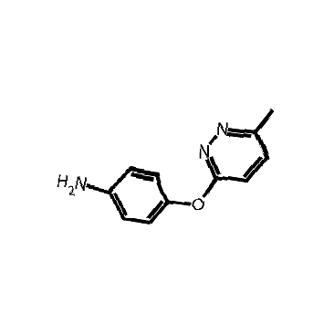 Cc1ccc(Oc2ccc(N)cc2)nn1